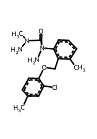 Cc1ccc(OCc2c(C)cccc2N(N)C(=O)N(C)N)c(Cl)c1